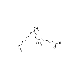 C=C(CCCCCCCC)CCC(C)CCCCCC(=O)O